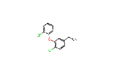 N#CCc1ccc(Cl)c(Oc2ccccc2Cl)c1